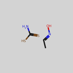 CC=NO.NC(=S)S